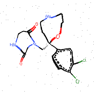 O=C1CNC(=O)N1C[C@]1(c2ccc(Cl)c(Cl)c2)CCNCCO1